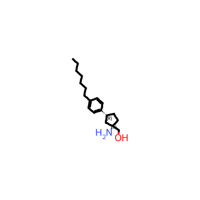 CCCCCCCc1ccc([C@@H]2CC[C@@](N)(CO)C2)cc1